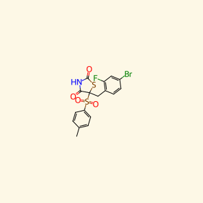 Cc1ccc(S(=O)(=O)C2(Cc3ccc(Br)cc3F)SC(=O)NC2=O)cc1